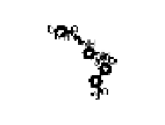 COc1ccc(C(=O)NCCNc2cccc(NS(=O)(=O)c3cc(-c4cccc(C(=O)N(C)C)c4)ccc3OC)c2)cn1